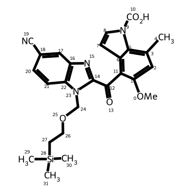 COc1cc(C)c2c(ccn2C(=O)O)c1C(=O)c1nc2cc(C#N)ccc2n1COCC[Si](C)(C)C